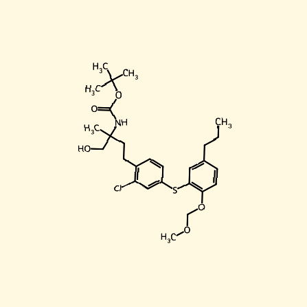 CCCc1ccc(OCOC)c(Sc2ccc(CCC(C)(CO)NC(=O)OC(C)(C)C)c(Cl)c2)c1